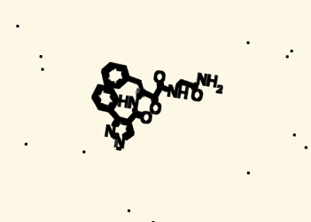 Cn1cc(C(=O)N[C@@H](Cc2ccccc2)C(=O)C(=O)NCC(N)=O)c(-c2ccccc2)n1